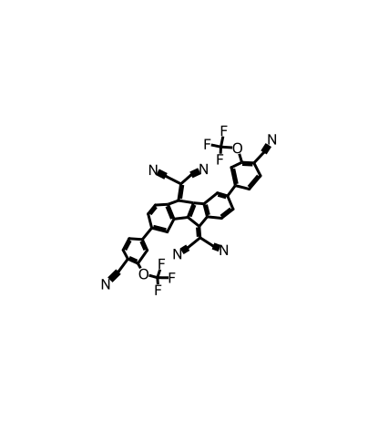 N#CC(C#N)=C1C2=C(C(=C(C#N)C#N)c3ccc(-c4ccc(C#N)c(OC(F)(F)F)c4)cc32)c2cc(-c3ccc(C#N)c(OC(F)(F)F)c3)ccc21